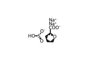 O=C([O-])c1ccco1.O=S([O-])O.[Na+].[Na+]